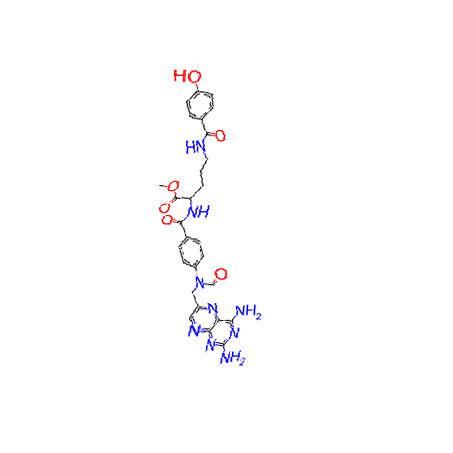 COC(=O)C(CCCNC(=O)c1ccc(O)cc1)NC(=O)c1ccc(N(C=O)Cc2cnc3nc(N)nc(N)c3n2)cc1